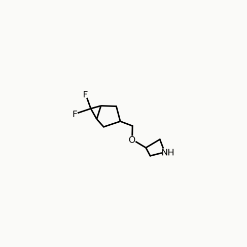 FC1(F)C2CC(COC3CNC3)CC21